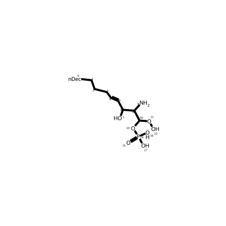 CCCCCCCCCCCCCC=CC(O)C(N)C(OO)OP(=O)(O)O